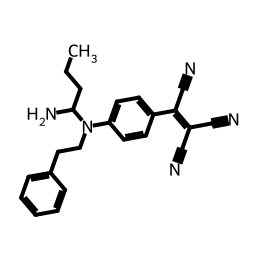 CCCC(N)N(CCc1ccccc1)c1ccc(C(C#N)=C(C#N)C#N)cc1